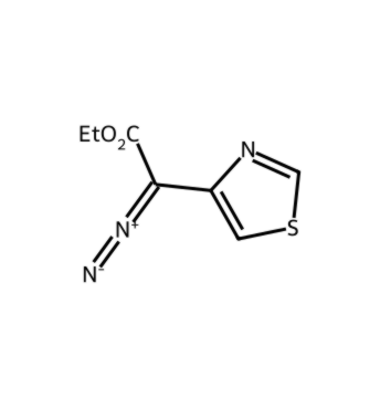 CCOC(=O)C(=[N+]=[N-])c1cscn1